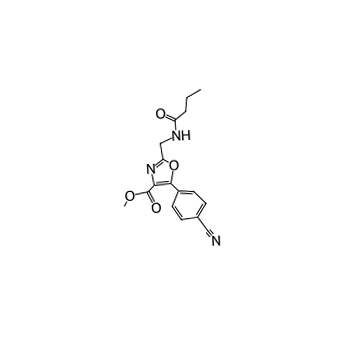 CCCC(=O)NCc1nc(C(=O)OC)c(-c2ccc(C#N)cc2)o1